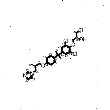 C[C@@H](COc1ccc(C(C)(C)c2cc(Cl)c(OC[C@@H](O)CCl)c(Cl)c2)cc1)Cn1ccnc1